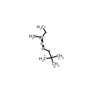 CC[N+](N)=C=NCC(C)(C)C